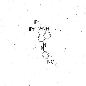 CC(C)CC1(CC(C)C)Cc2ccc(N=Nc3ccc([N+](=O)[O-])cc3)c3cccc(c23)N1